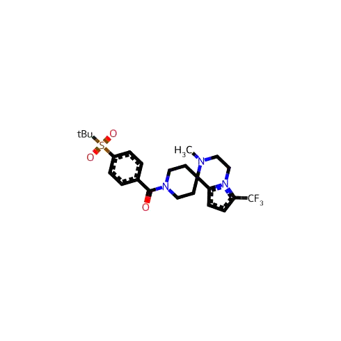 CN1CCn2c(C(F)(F)F)ccc2C12CCN(C(=O)c1ccc(S(=O)(=O)C(C)(C)C)cc1)CC2